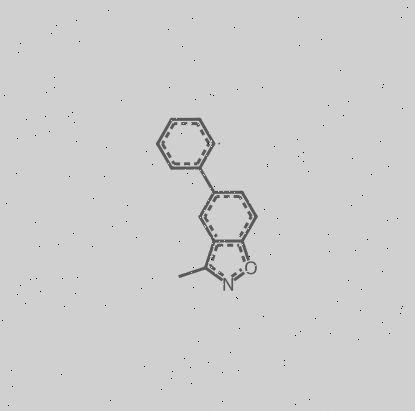 Cc1noc2ccc(-c3[c]cccc3)cc12